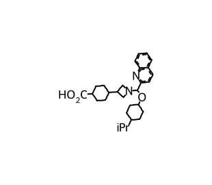 CC(C)C1CCC(OC(c2ccc3ccccc3n2)N2CC(C3CCC(C(=O)O)CC3)C2)CC1